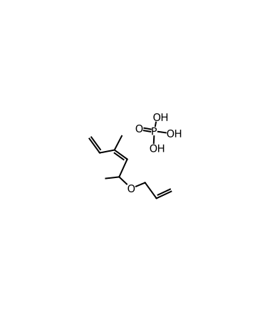 C=CCOC(C)C=C(C)C=C.O=P(O)(O)O